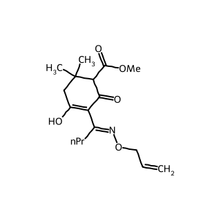 C=CCON=C(CCC)C1=C(O)CC(C)(C)C(C(=O)OC)C1=O